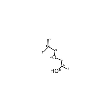 C=C(C)CO[CH]C(C)O